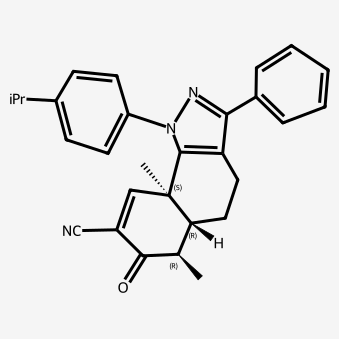 CC(C)c1ccc(-n2nc(-c3ccccc3)c3c2[C@]2(C)C=C(C#N)C(=O)[C@H](C)[C@H]2CC3)cc1